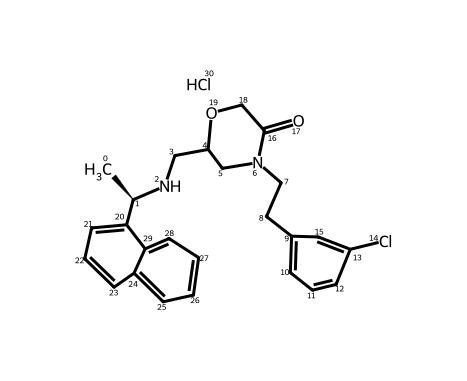 C[C@@H](NCC1CN(CCc2cccc(Cl)c2)C(=O)CO1)c1cccc2ccccc12.Cl